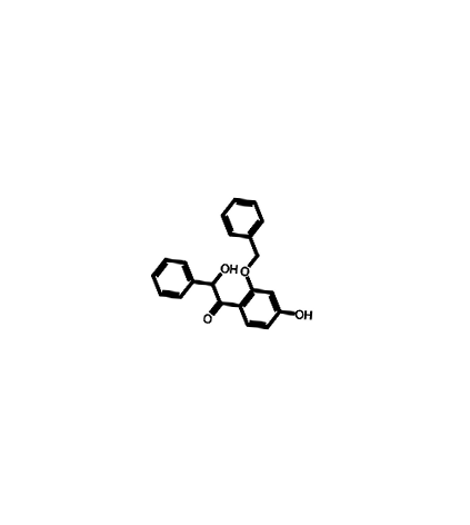 O=C(c1ccc(O)cc1OCc1ccccc1)C(O)c1ccccc1